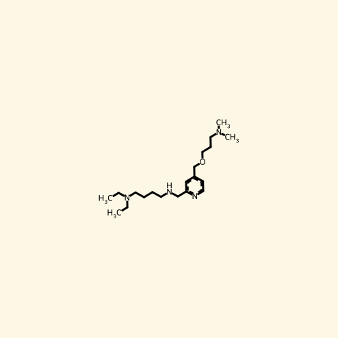 CCN(CC)CCCCNCc1cc(COCCCN(C)C)ccn1